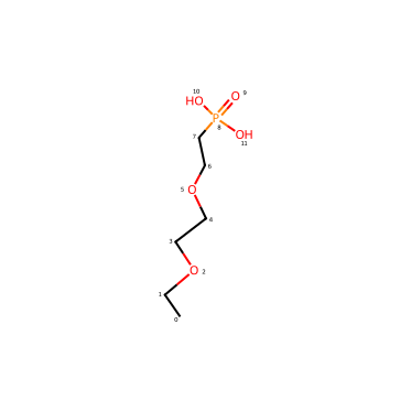 CCOCCOCCP(=O)(O)O